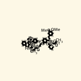 CCC(C)(C)C(=O)C(=O)N1CCCC[C@H]1C(=O)O[C@H](CCc1ccc(OC)c(OC)c1)c1cccc(OCCNC(=O)CCN(C)C(=O)N[C@@H](Cc2ccccc2)[C@H](O)CN(CC(C)C)S(=O)(=O)c2ccc([N+](=O)[O-])cc2)c1